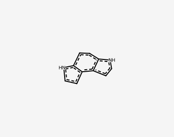 c1cc2c(ccc3[nH]ccc32)[nH]1